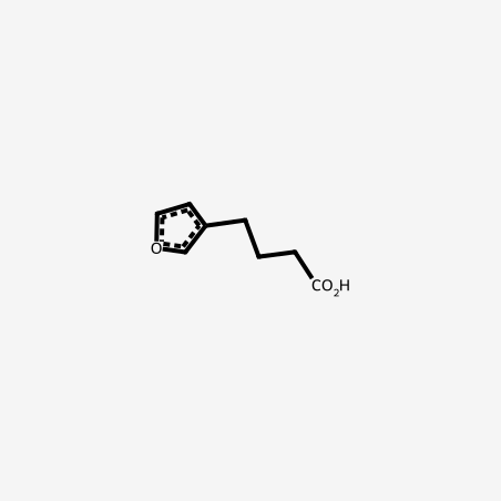 O=C(O)CCCc1ccoc1